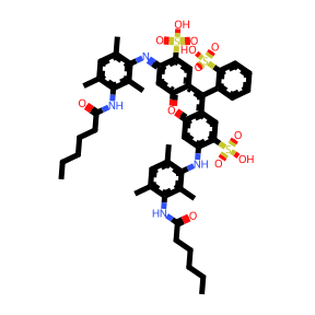 CCCCCC(=O)Nc1c(C)cc(C)c(/N=c2\cc3oc4cc(Nc5c(C)cc(C)c(NC(=O)CCCCC)c5C)c(S(=O)(=O)O)cc4c(-c4ccccc4S(=O)(=O)O)c-3cc2S(=O)(=O)O)c1C